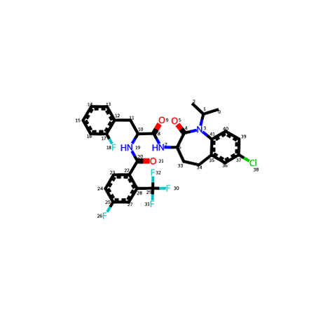 CC(C)N1C(=O)C(NC(=O)C(Cc2ccccc2F)NC(=O)c2ccc(F)cc2C(F)(F)F)CCc2cc(Cl)ccc21